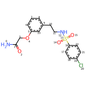 NC(=O)COc1cccc(CCNS(=O)(=O)c2ccc(Cl)cc2)c1